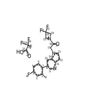 Cc1cc(F)ccc1-c1cnc2ccn(CC(=O)N3CC(F)(F)C3)c2c1.O=C(O)C(F)(F)F